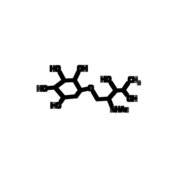 CC(=O)NC(COC1CC(O)C(O)C(O)C1O)C(O)C(C)O